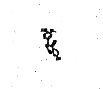 COc1cc(-c2coc3cc(O)ccc3c2=O)ccc1O